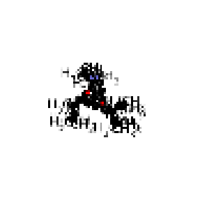 C=N/C(=N\C(=C)c1ccc(-c2ccc(-c3ccccc3-c3cc(-c4ccccc4-c4ccc(-c5ccc(-c6nc(C)nc(-c7ccc8c(c7)C(C)(C)CC8(C)C)n6)cn5)cc4)cc(-c4ccccc4-c4ccc(-c5ccc(-c6nc(-c7ccc8c(c7)C(C)(C)CC8(C)C)nc(-c7ccc8c(c7)C(C)(C)CC8(C)C)n6)cn5)cc4)c3)cc2)nc1)c1ccc2c(c1)C(C)(C)CC2(C)C